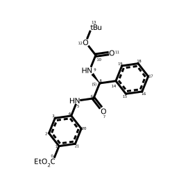 CCOC(=O)c1ccc(NC(=O)[C@@H](NC(=O)OC(C)(C)C)c2ccccc2)cc1